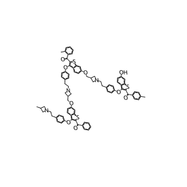 Cc1ccc(C(=O)c2sc3cc(O)ccc3c2Oc2ccc(CCN3CC(COc4ccc5c(Oc6ccc(CCN7CC(COc8ccc9c(Oc%10ccc(CCN%11CC(C)C%11)cc%10)c(C(=O)c%10ccccc%10)sc9c8)C7)cc6)c(C(=O)c6ccccc6C)sc5c4)C3)cc2)cc1